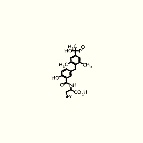 Cc1cc(C(C)(O)P=O)cc(C)c1Cc1ccc(O)c(C(=O)NC(CC(C)C)C(=O)O)c1